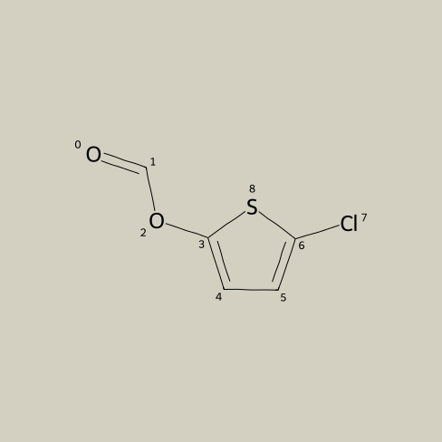 O=COc1ccc(Cl)s1